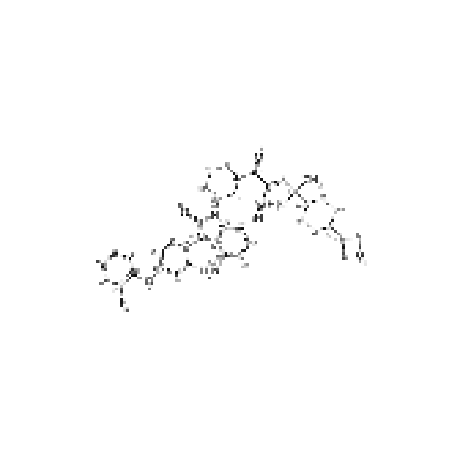 CC(C)(C=C(C#N)C(=O)N1CCCC(n2c(=O)n(-c3ccc(Oc4ccccc4F)cc3)c3c(N)nccc32)C1)N1CCN(C2COC2)CC1